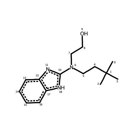 CC(C)(C)CCN(CCO)c1nc2ccccc2[nH]1